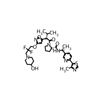 Cc1ncsc1-c1ccc([C@H](C)NC(=O)[C@@H]2CCCN2C(=O)[C@@H](c2cc(OCC(F)(F)CN3CCC(O)CC3)no2)C(C)C)cn1